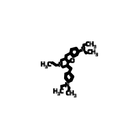 CCCN1CC(=Cc2ccc(N(CC)CC)cc2)C(=O)C(=Cc2ccc(N(CC)CC)cc2)C1